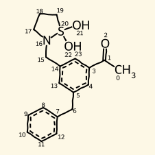 CC(=O)c1cc(Cc2ccccc2)cc(CN2CCCS2(O)O)c1